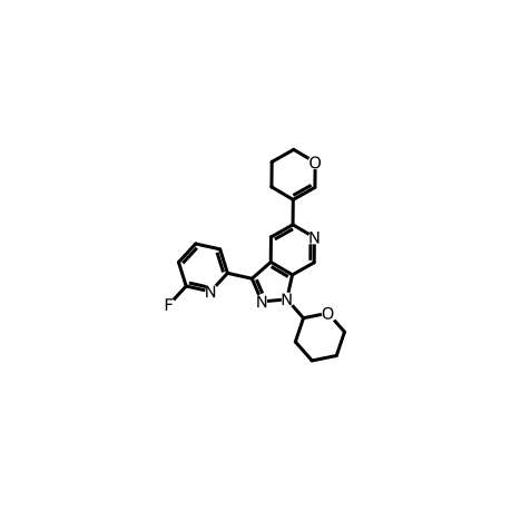 Fc1cccc(-c2nn(C3CCCCO3)c3cnc(C4=COCCC4)cc23)n1